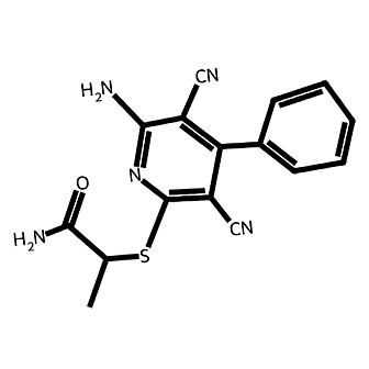 CC(Sc1nc(N)c(C#N)c(-c2ccccc2)c1C#N)C(N)=O